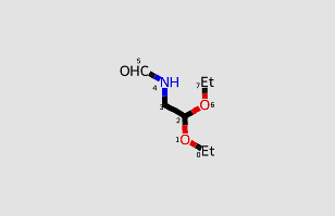 CCOC(CNC=O)OCC